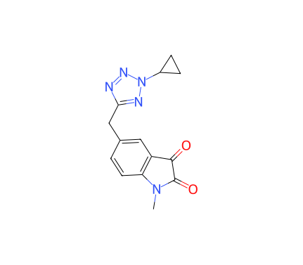 CN1C(=O)C(=O)c2cc(Cc3nnn(C4CC4)n3)ccc21